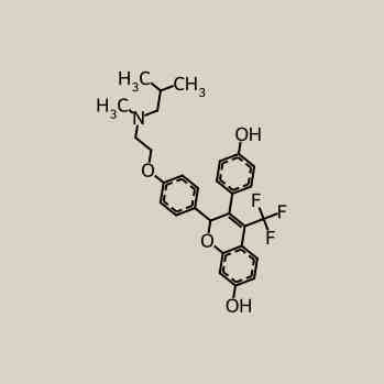 CC(C)CN(C)CCOc1ccc(C2Oc3cc(O)ccc3C(C(F)(F)F)=C2c2ccc(O)cc2)cc1